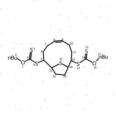 CCCCOC(=S)SC1CCC=CCCC(SC(=S)OCCCC)C2CCC1S2